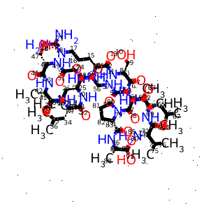 CC[C@H](C)[C@H](NC(=O)[C@H](CO)NC(=O)[C@H](CCCN=C(N)N)NC(=O)[C@H](CC(C)C)NC(=O)[C@H](CC(C)C)NC(=O)[C@H](C)NC(=O)[C@H](CO)NC(=O)CNC(=O)CNC(=O)CNC(=O)[C@H](CC(C)C)NC(=O)[C@@H](N)C(C)C)C(=O)N1CCC[C@H]1C(=O)N[C@@H](C)C(=O)O